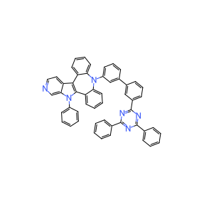 c1ccc(-c2nc(-c3ccccc3)nc(-c3cccc(-c4cccc(N5c6ccccc6-c6c(n(-c7ccccc7)c7cnccc67)-c6ccccc65)c4)c3)n2)cc1